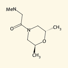 CNCC(=O)N1C[C@H](C)O[C@@H](C)C1